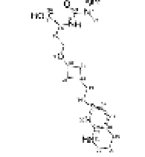 CC(C)N(C)C(=O)N[C@@H](CCOC1CC(CCc2ccc3c(n2)NCCC3)C1)C(=O)O